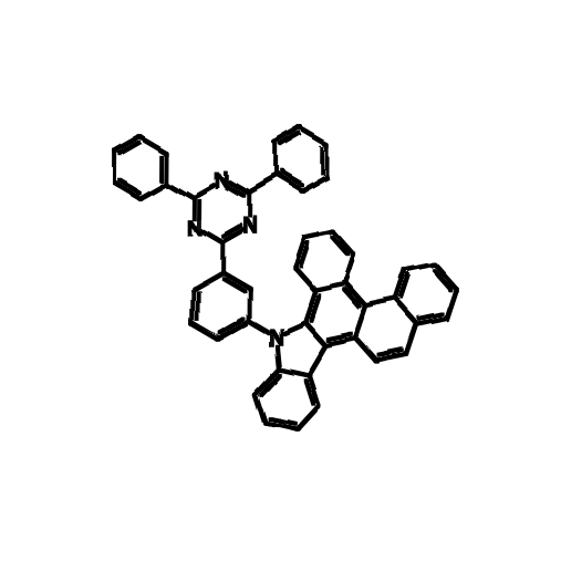 c1ccc(-c2nc(-c3ccccc3)nc(-c3cccc(-n4c5ccccc5c5c6ccc7ccccc7c6c6ccccc6c54)c3)n2)cc1